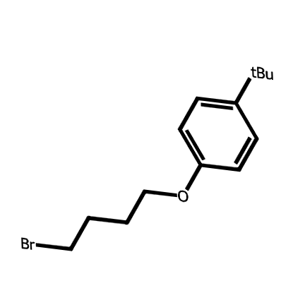 CC(C)(C)c1ccc(OCCCCBr)cc1